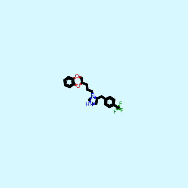 FC(F)(F)c1ccc(CC2CNCN2CCCC2COc3ccccc3O2)cc1